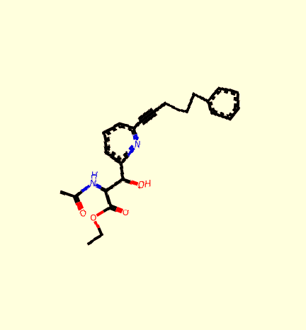 CCOC(=O)C(NC(C)=O)C(O)c1cccc(C#CCCCc2ccccc2)n1